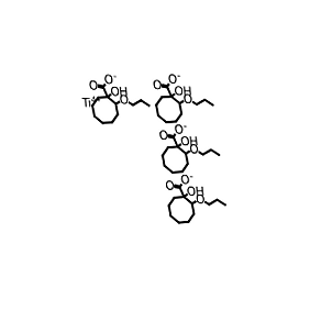 CCCOC1CCCCCCC1(O)C(=O)[O-].CCCOC1CCCCCCC1(O)C(=O)[O-].CCCOC1CCCCCCC1(O)C(=O)[O-].CCCOC1CCCCCCC1(O)C(=O)[O-].[Ti+4]